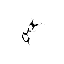 CC(=O)Nc1cccc(-c2nc(C)c(C=O)[nH]2)c1